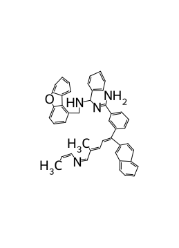 C\C=C/N=C\C(C)=C\C=C(\c1cccc(/C(N)=N/C(NCc2cccc3oc4ccccc4c23)c2ccccc2)c1)c1ccc2ccccc2c1